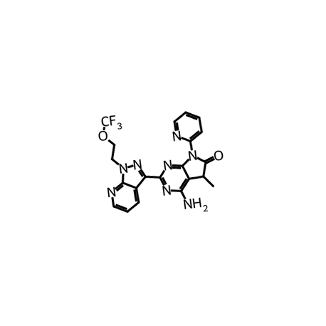 CC1C(=O)N(c2ccccn2)c2nc(-c3nn(CCOC(F)(F)F)c4ncccc34)nc(N)c21